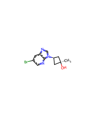 C[C@]1(O)C[C@@H](n2cnc3cc(Br)cnc32)C1